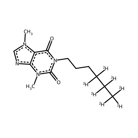 [2H]C([2H])([2H])C([2H])([2H])C([2H])([2H])CCCn1c(=O)c2c(ncn2C)n(C)c1=O